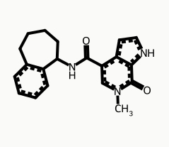 Cn1cc(C(=O)NC2CCCCc3ccccc32)c2cc[nH]c2c1=O